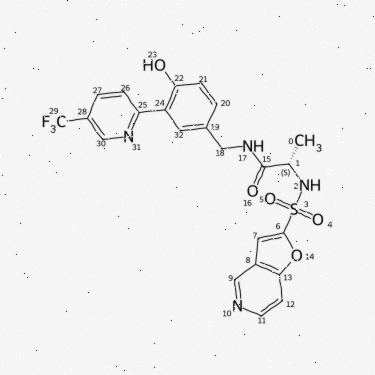 C[C@H](NS(=O)(=O)c1cc2cnccc2o1)C(=O)NCc1ccc(O)c(-c2ccc(C(F)(F)F)cn2)c1